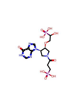 O=C(CCP(=O)(O)O)N1C[C@H](OCC(O)P(=O)(O)O)[C@H](n2cnc3c(=O)[nH]cnc32)C1